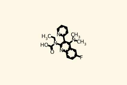 CCN(C(=O)O)c1nc2ccc(F)cc2c(N(C)C)c1-c1ccccn1